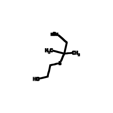 CCCCCC(C)(C)SCCO